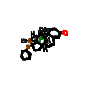 CCSC1(Sc2ccccc2)CC[C@H]2[C@@H]3CCC4=CC(=O)C=C[C@]4(C)[C@@]3(F)[C@@H](OC(C)=O)C[C@@]21C